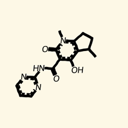 CC1CCc2c1c(O)c(C(=O)Nc1ncccn1)c(=O)n2C